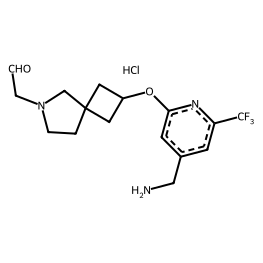 Cl.NCc1cc(OC2CC3(CCN(CC=O)C3)C2)nc(C(F)(F)F)c1